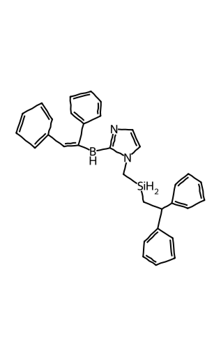 B(C(=Cc1ccccc1)c1ccccc1)c1nccn1C[SiH2]CC(c1ccccc1)c1ccccc1